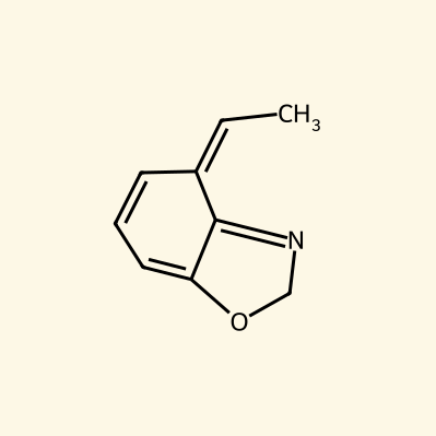 C/C=c1/cccc2c1=NCO2